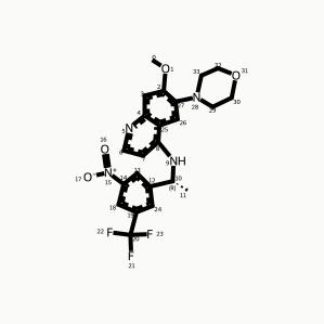 COc1cc2nccc(N[C@H](C)c3cc([N+](=O)[O-])cc(C(F)(F)F)c3)c2cc1N1CCOCC1